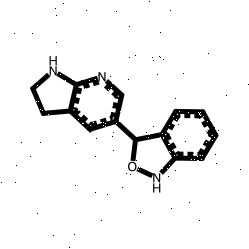 [c]1c(C2ONc3ccccc32)cnc2c1CCN2